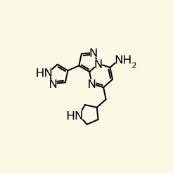 Nc1cc(CC2CCNC2)nc2c(-c3cn[nH]c3)cnn12